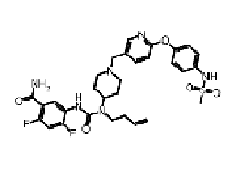 C=CCCN(C(=O)Nc1cc(C(N)=O)c(F)cc1F)C1CCN(Cc2ccc(Oc3ccc(NS(C)(=O)=O)cc3)nc2)CC1